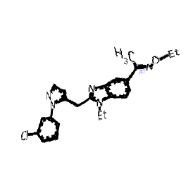 CCO/N=C(\C)c1ccc2c(c1)nc(Cc1ccnn1-c1cccc(Cl)c1)n2CC